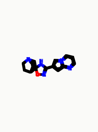 c1cnc2cc(C3=NOC4(CN5CCC4CC5)N3)cn2c1